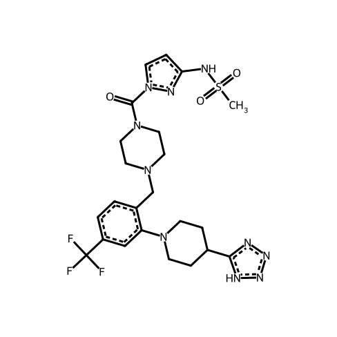 CS(=O)(=O)Nc1ccn(C(=O)N2CCN(Cc3ccc(C(F)(F)F)cc3N3CCC(c4nnn[nH]4)CC3)CC2)n1